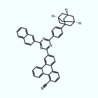 N#Cc1cccc2c3ccc(-c4nc(-c5ccc(C67C[C@H]8C[C@@H](C6)C[C@@H](C7)C8)cc5)nc(-c5ccc6ccccc6c5)n4)cc3c3ccccc3c12